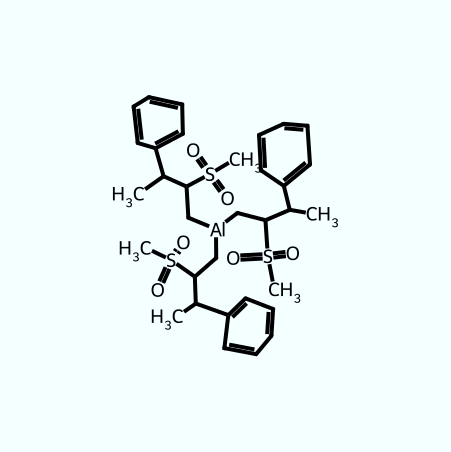 CC(c1ccccc1)C([CH2][Al]([CH2]C(C(C)c1ccccc1)S(C)(=O)=O)[CH2]C(C(C)c1ccccc1)S(C)(=O)=O)S(C)(=O)=O